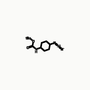 CC(C)(C)OC(=O)NC1CCC(N=[N+]=[N-])CC1